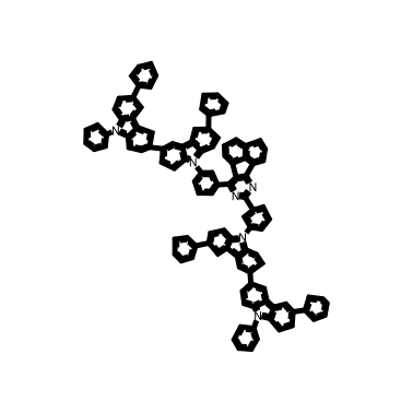 c1ccc(-c2ccc3c(c2)c2cc(-c4ccc5c(c4)c4cc(-c6ccccc6)ccc4n5-c4cccc(-c5nc(-c6cccc(-n7c8ccc(-c9ccccc9)cc8c8cc(-c9ccc%10c(c9)c9cc(-c%11ccccc%11)ccc9n%10-c9ccccc9)ccc87)c6)c6c(n5)-c5cccc7cccc-6c57)c4)ccc2n3-c2ccccc2)cc1